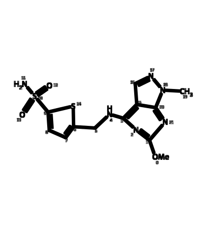 COc1nc(NCc2ccc(S(N)(=O)=O)s2)c2cnn(C)c2n1